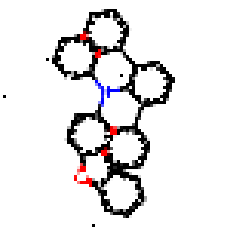 c1ccc(-c2cccc(-c3ccccc3)c2N(c2ccccc2)c2ccc3oc4ccccc4c3c2)cc1